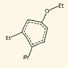 CCOc1ccc(C(C)C)c(CC)c1